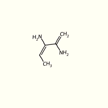 C=C(N)/C(N)=C\C